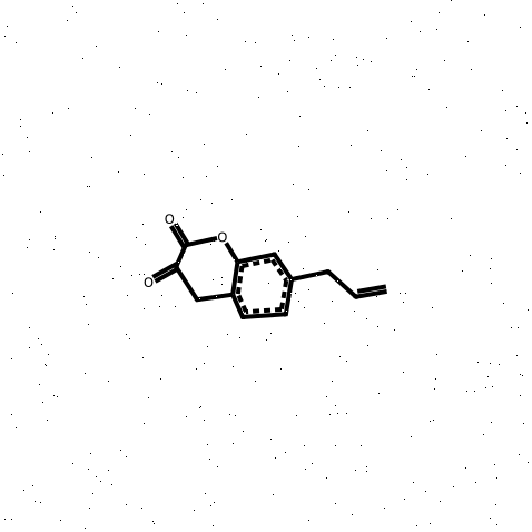 C=CCc1ccc2c(c1)OC(=O)C(=O)C2